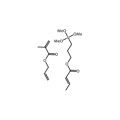 C=CCOC(=O)C(=C)C.CC=CC(=O)OCCC[Si](OC)(OC)OC